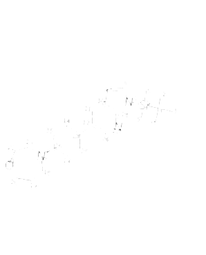 CC(C)(C)[Si](C)(C)n1ccc2cc([C@H]3CC[C@H](N4CCCOCC4)CC3)cnc21